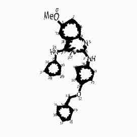 COc1ccc2nc(Nc3ccc(OCc4ccccc4)cc3)nc(Nc3ccccc3)c2c1